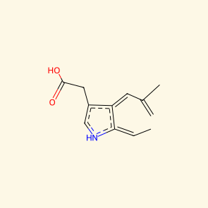 C=C(C)/C=c1/c(CC(=O)O)c[nH]/c1=C/C